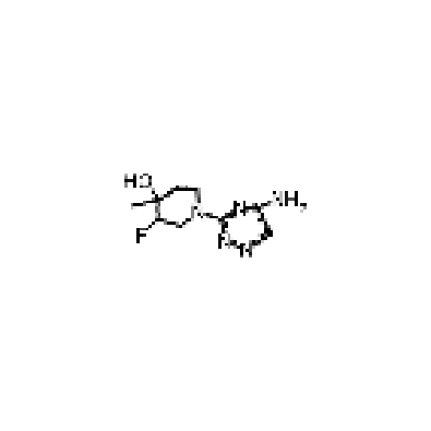 CC1(O)CCN(c2nncc(N)n2)CC1F